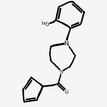 O=C(C1C=CC=C1)N1CCN(c2ccccc2O)CC1